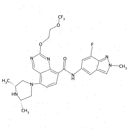 C[C@@H]1CN(c2ccc(C(=O)Nc3cc(F)c4nn(C)cc4c3)c3nc(OCCOC(F)(F)F)ncc23)C[C@H](C)N1